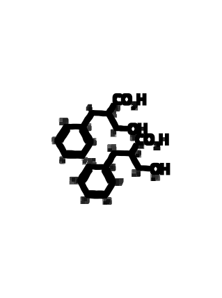 O=C(O)C(CO)Cc1ccccc1.O=C(O)C(CO)Cc1ccccc1